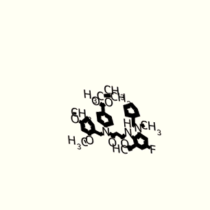 C#Cc1cc(F)cc(N(C)Cc2ccccc2)c1NC(=O)CC(=O)N(Cc1ccc(OC)cc1OC)c1ccc(C(=O)OC(C)(C)C)cc1